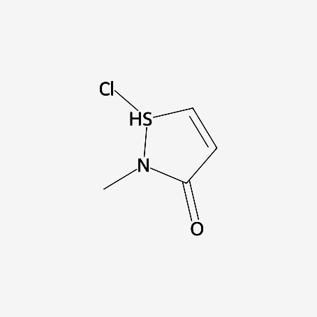 CN1C(=O)C=C[SH]1Cl